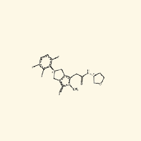 Cn1c(CC(=O)N[C@@H]2CCOC2)c2n(c1=S)C[C@@H](c1c(F)ccc(F)c1F)C2